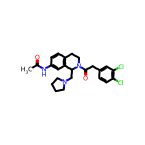 CC(=O)Nc1ccc2c(c1)C(CN1CCCC1)N(C(=O)Cc1ccc(Cl)c(Cl)c1)CC2